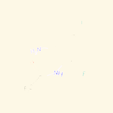 Nc1cc(F)cc(F)c1NC(=O)C(F)(F)F